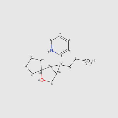 O=S(=O)(O)CCC1(c2ccccn2)C2COC3(CCCC3)C21